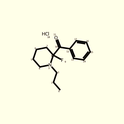 CCCN1CCCCC1(F)C(=O)c1ccccc1.Cl